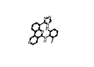 Fc1cccc(F)c1Nc1nc2c(-c3nnc[nH]3)cccc2c2cnccc12